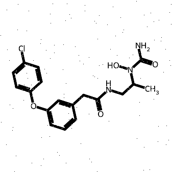 CC(CNC(=O)Cc1cccc(Oc2ccc(Cl)cc2)c1)N(O)C(N)=O